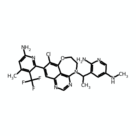 CNc1cnc(N)c(C(C)N2CCOc3c(Cl)c(-c4nc(N)cc(C)c4C(F)(F)F)cc4ncnc2c34)c1